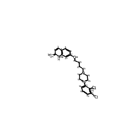 C=C1C=Cc2ccc(OCCCCN3CCN(c4cccc(Cl)c4Cl)CC3)cc2N1